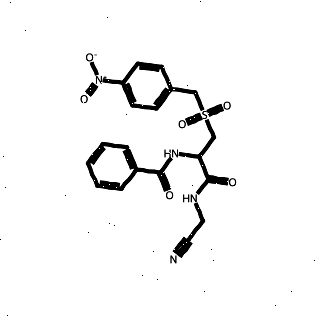 N#CCNC(=O)C(CS(=O)(=O)Cc1ccc([N+](=O)[O-])cc1)NC(=O)c1ccccc1